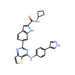 O=C(NC1CCC1)c1cc2ccc(-c3nc(Nc4ccc(-c5cn[nH]c5)cc4)c4sccc4n3)cc2[nH]1